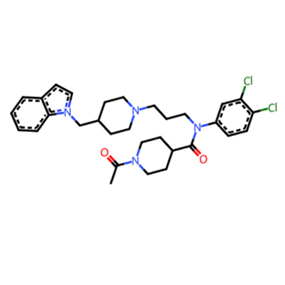 CC(=O)N1CCC(C(=O)N(CCCN2CCC(Cn3ccc4ccccc43)CC2)c2ccc(Cl)c(Cl)c2)CC1